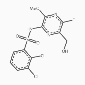 COc1nc(F)c(CO)nc1NS(=O)(=O)c1cccc(Cl)c1Cl